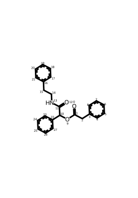 O=C(Cc1ccccc1)OC(C(=O)NCCc1ccccc1)c1ccccc1